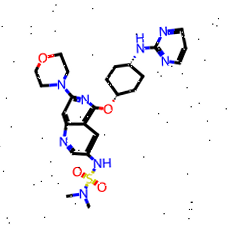 CN(C)S(=O)(=O)Nc1cnc2cc(N3CCOCC3)nc(O[C@H]3CC[C@@H](Nc4ncccn4)CC3)c2c1